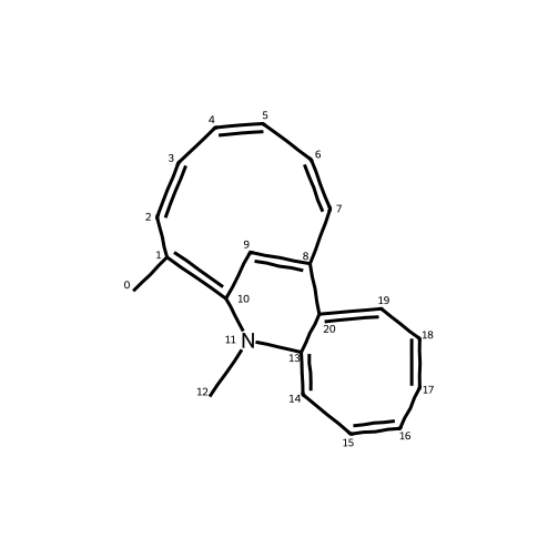 Cc1ccccccc2cc1N(C)C1=C/C=C\C=C/C=C\12